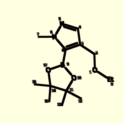 CCOCc1cnn(C)c1B1OC(C)(C)C(C)(C)O1